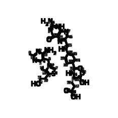 Cc1ncc(C[n+]2csc(CCO)c2C)c(N)n1.Nc1nc(=O)c2nc(CNc3ccc(C(=O)N[C@@H](CCC(=O)O)C(=O)O)cc3)cnc2[nH]1